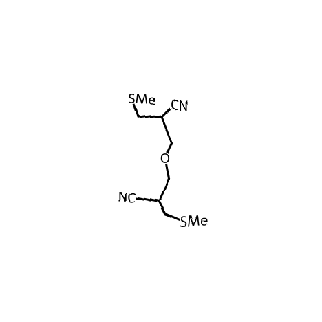 CSCC(C#N)COCC(C#N)CSC